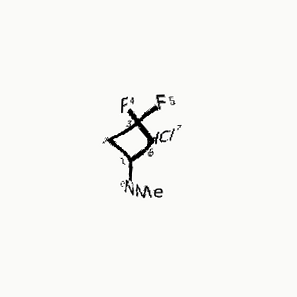 CNC1CC(F)(F)C1.Cl